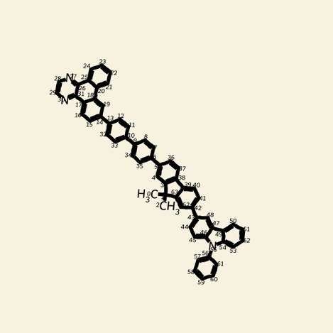 CC1(C)c2cc(-c3ccc(-c4ccc(-c5ccc6c(c5)c5ccccc5c5nccnc65)cc4)cc3)ccc2-c2ccc(-c3ccc4c(c3)c3ccccc3n4-c3ccccc3)cc21